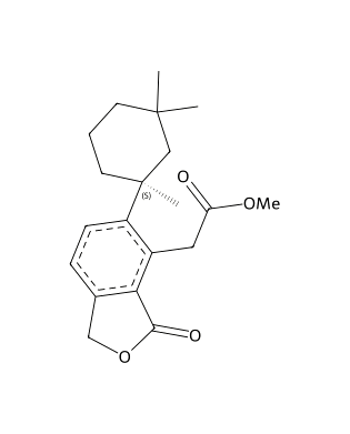 COC(=O)Cc1c([C@@]2(C)CCCC(C)(C)C2)ccc2c1C(=O)OC2